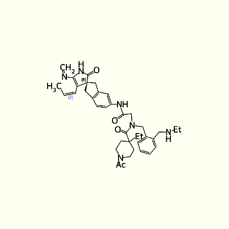 C=NC1=C(/C=C\C)[C@]2(Cc3ccc(NC(=O)CN(Cc4ccccc4CNCC)C(=O)C4(CC)CCN(C(C)=O)CC4)cc3C2)C(=O)N1